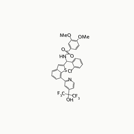 COc1ccc(S(=O)(=O)NC(c2cc3cccc(-c4cc(C(O)(C(F)(F)F)C(F)(F)F)ccn4)c3s2)c2ccccc2Cl)cc1OC